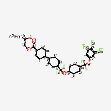 CCCCCC1COC(C2CCC(C3CCC(C(F)(F)OC4CCC(C(F)(F)Oc5cc(F)c(F)c(F)c5)CC4)CC3)CC2)OC1